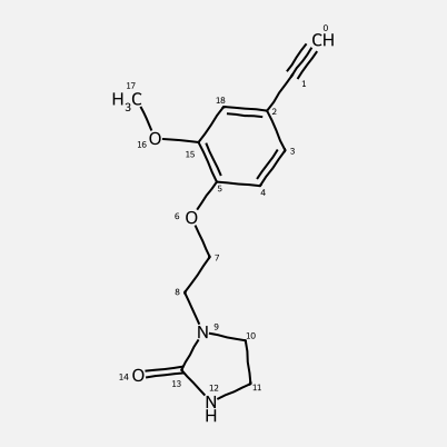 C#Cc1ccc(OCCN2CCNC2=O)c(OC)c1